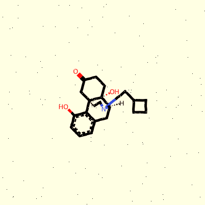 O=C1CC[C@@]2(O)[C@H]3Cc4cccc(O)c4[C@@]2(CCN3CC2CCC2)C1